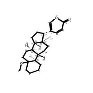 COC12CCCC[C@]1(C)[C@H]1CC[C@]3(C)[C@@H](c4ccc(=O)oc4)CC[C@@H]3[C@@H]1CC2